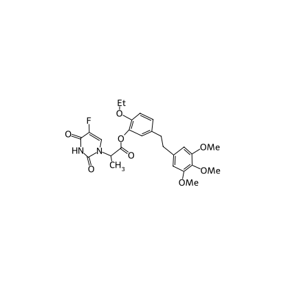 CCOc1ccc(CCc2cc(OC)c(OC)c(OC)c2)cc1OC(=O)C(C)n1cc(F)c(=O)[nH]c1=O